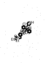 CCN(CC)C(=O)N1CCc2cc(S(=O)(=O)N3C(=O)C(NCC4CCNCC4)(c4ccccc4Cl)c4cc(Cl)ccc43)ccc21